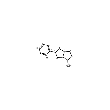 OC1CCC2CC(c3ccccn3)CC12